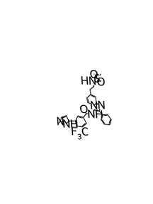 CN1C=CC(c2cc(C(=O)Nc3c(-c4ccccc4)nc4cc(CCNS(C)(=O)=O)ccn34)ccc2C(F)(F)F)N1